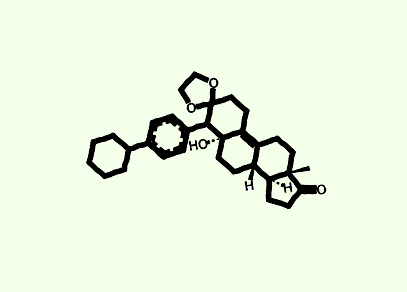 C[C@]12CCC3=C4CCC5(OCCO5)C(c5ccc(C6CCCCC6)cc5)[C@]4(O)CC[C@H]3[C@@H]1CCC2=O